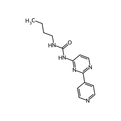 CCCCNC(=O)Nc1ccnc(-c2ccncc2)n1